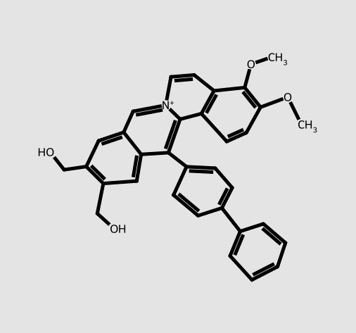 COc1ccc2c(cc[n+]3cc4cc(CO)c(CO)cc4c(-c4ccc(-c5ccccc5)cc4)c23)c1OC